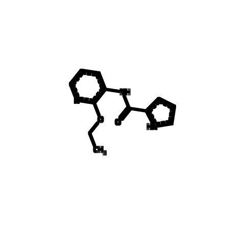 CCOc1ncccc1NC(=O)c1ccc[nH]1